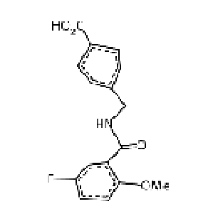 COc1ccc(F)cc1C(=O)NCc1ccc(C(=O)O)cc1